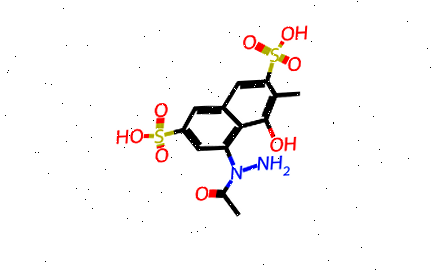 CC(=O)N(N)c1cc(S(=O)(=O)O)cc2cc(S(=O)(=O)O)c(C)c(O)c12